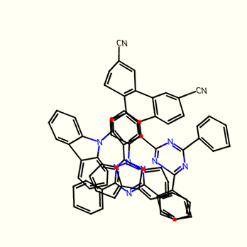 N#Cc1ccc(-c2ccc(-n3c4ccccc4c4ccccc43)c(-c3nc(-c4ccccc4)nc(-c4ccccc4)n3)c2)c(-c2cc(C#N)ccc2-c2ccc(-n3c4ccccc4c4ccccc43)c(-c3nc(-c4ccccc4)nc(-c4ccccc4)n3)c2)c1